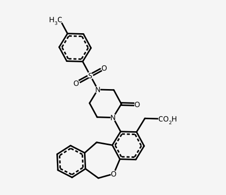 Cc1ccc(S(=O)(=O)N2CCN(c3c(CC(=O)O)ccc4c3Cc3ccccc3CO4)C(=O)C2)cc1